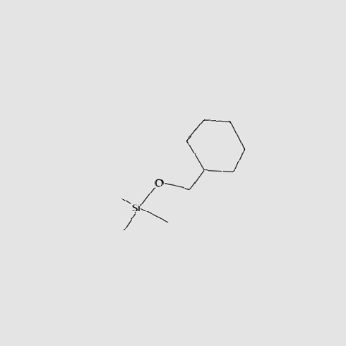 C[Si](C)(C)OCC1CCCCC1